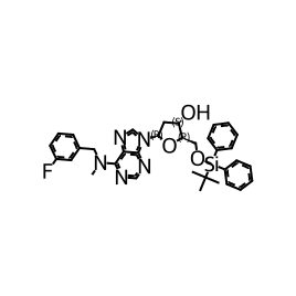 CN(Cc1cccc(F)c1)c1ncnc2c1ncn2[C@H]1C[C@H](O)[C@@H](CO[Si](c2ccccc2)(c2ccccc2)C(C)(C)C)O1